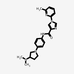 Cc1cccc(-n2cnc(C(=O)Nc3ccc(N4CCC(N(C)C)C4)cc3)c2)n1